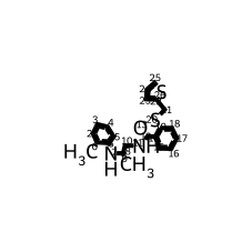 Cc1ccccc1NC(C)CNC(=O)c1ccccc1SCc1cccs1